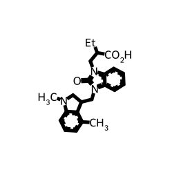 CCC(Cn1c(=O)n(CC2CN(C)c3cccc(C)c32)c2ccccc21)C(=O)O